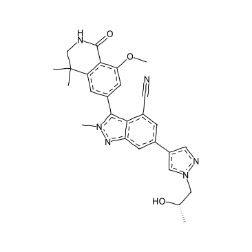 COc1cc(-c2c3c(C#N)cc(-c4cnn(C[C@H](C)O)c4)cc3nn2C)cc2c1C(=O)NCC2(C)C